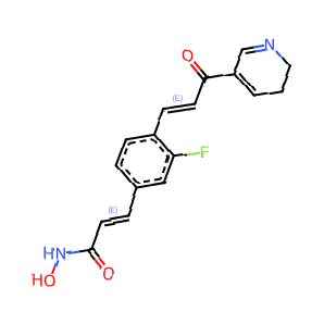 O=C(/C=C/c1ccc(/C=C/C(=O)C2=CCCN=C2)c(F)c1)NO